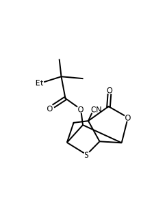 CCC(C)(C)C(=O)OC1C2CC3(C#N)C(=O)OC1C3S2